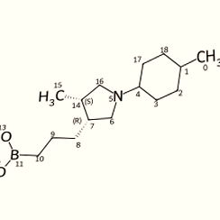 CC1CCC(N2C[C@H](CCCB(O)O)[C@H](C)C2)CC1